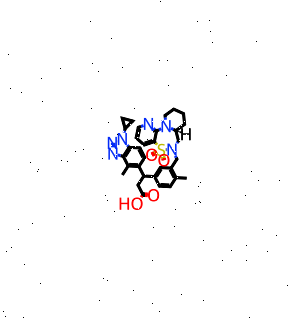 Cc1ccc(C(CC(=O)O)c2ccc3c(nnn3C3CC3)c2C)cc1CN1C[C@@H]2CCCCN2c2ncccc2S1(=O)=O